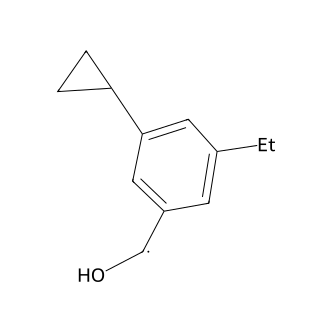 CCc1cc([CH]O)cc(C2CC2)c1